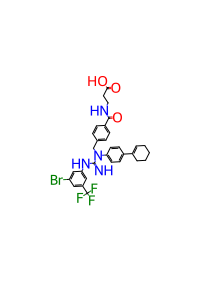 N=C(Nc1cc(Br)cc(C(F)(F)F)c1)N(Cc1ccc(C(=O)NCCC(=O)O)cc1)c1ccc(C2=CCCCC2)cc1